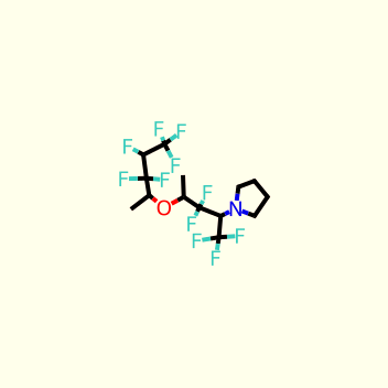 CC(OC(C)C(F)(F)C(N1CCCC1)C(F)(F)F)C(F)(F)C(F)C(F)(F)F